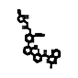 COc1nc(-c2cccc(-c3cccc(Nc4nc(C)nc5cccnc45)c3C)c2Cl)ccc1CNCC1CCC(=O)N1